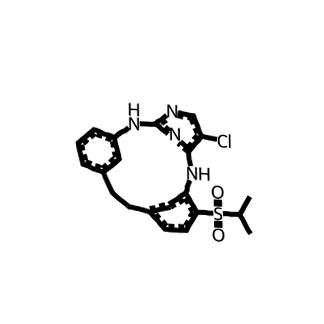 CC(C)S(=O)(=O)c1ccc2cc1Nc1nc(ncc1Cl)Nc1cccc(c1)CC2